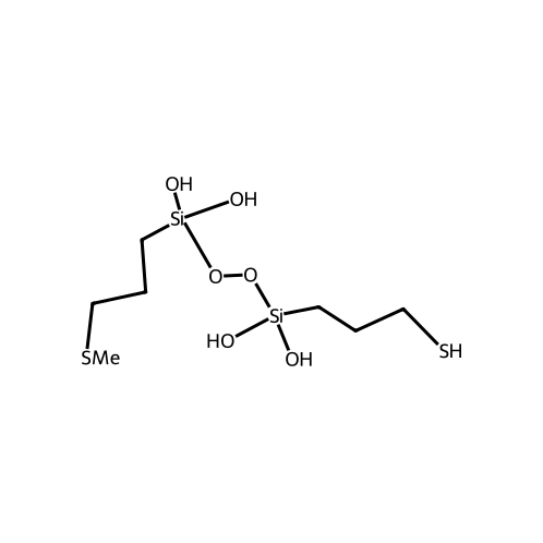 CSCCC[Si](O)(O)OO[Si](O)(O)CCCS